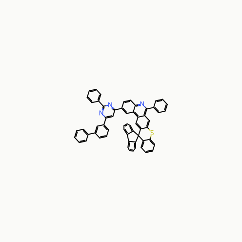 c1ccc(-c2cccc(-c3cc(-c4ccc5nc(-c6ccccc6)c6cc7c(cc6c5c4)C4(c5ccccc5S7)c5ccccc5-c5ccccc54)nc(-c4ccccc4)n3)c2)cc1